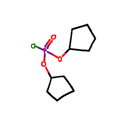 O=P(Cl)(OC1CCCC1)OC1CCCC1